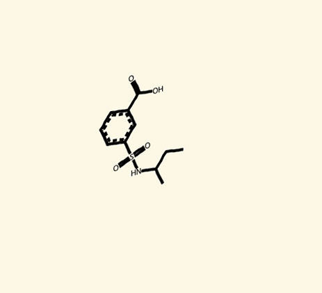 CCC(C)NS(=O)(=O)c1cccc(C(=O)O)c1